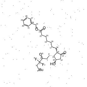 CCC(C)CC(F)(F)C(=O)CC[C@H]1[C@H](O)CC(=O)[C@@H]1CCCCCCC(=O)OCc1ccccc1